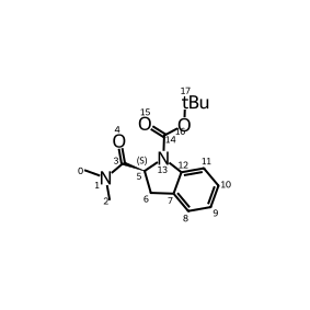 CN(C)C(=O)[C@@H]1Cc2ccccc2N1C(=O)OC(C)(C)C